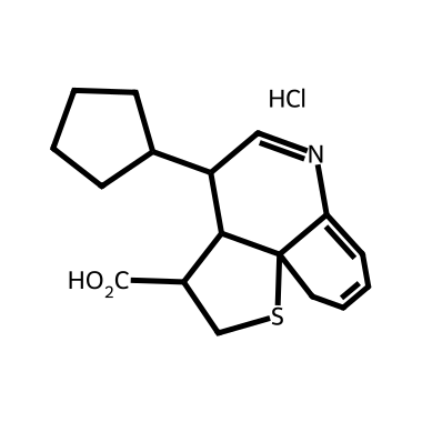 Cl.O=C(O)C1CSC23CC=CC=C2N=CC(C2CCCC2)C13